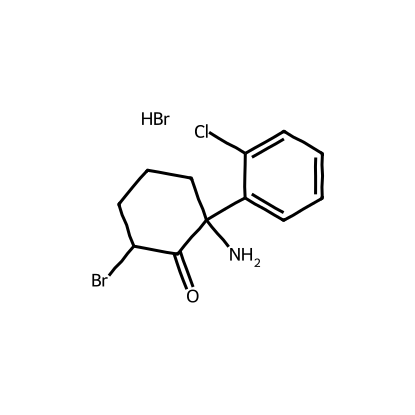 Br.NC1(c2ccccc2Cl)CCCC(Br)C1=O